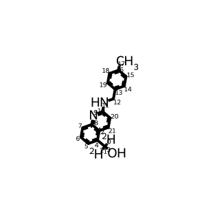 [2H]C([2H])(O)c1cccc2nc(NCc3ccc(C)cc3)ccc12